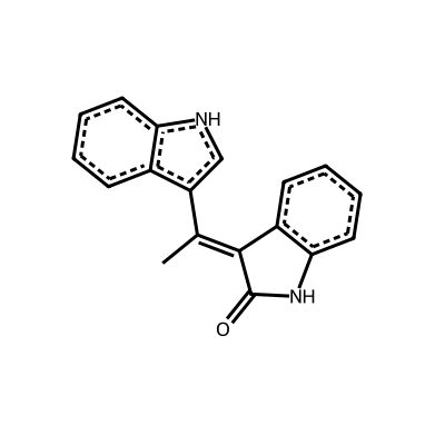 CC(=C1C(=O)Nc2ccccc21)c1c[nH]c2ccccc12